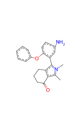 Cc1c2c(c(-c3cc(N)ccc3Oc3ccccc3)n1C)CCCC2=O